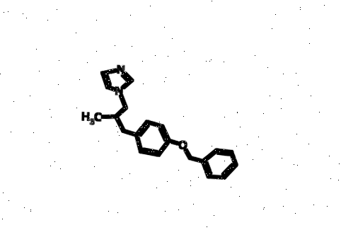 CC(Cc1ccc(OCc2ccccc2)cc1)Cn1ccnc1